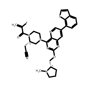 C=C(F)C(=O)N1CCN(c2nc(OC[C@@H]3CCCN3C)nc3cc(-c4cccc5ccsc45)cnc23)C[C@@H]1CC#N